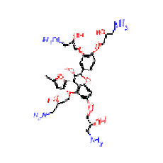 Cc1ccc(C2c3c(OCC(O)CN)cc(OCC(O)CN)cc3OC(c3ccc(OCC(O)CN)c(OCC(O)CN)c3)C2O)o1